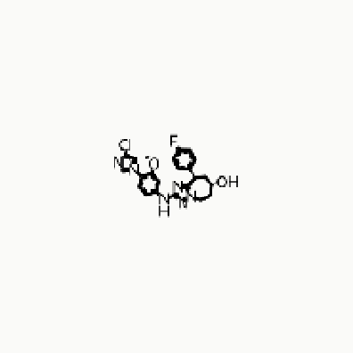 COc1cc(Nc2nc3n(n2)CC[C@@H](O)C[C@@H]3c2ccc(F)cc2)ccc1-n1cnc(Cl)c1